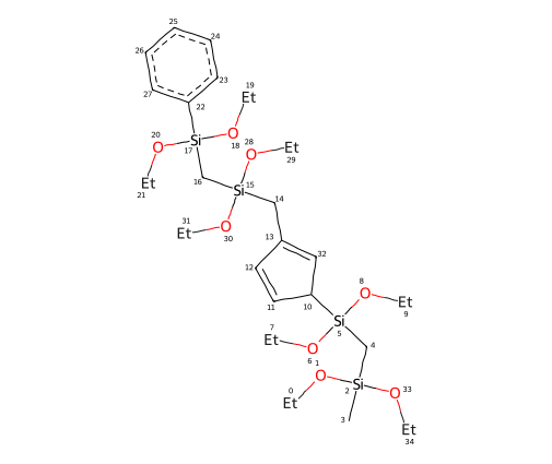 CCO[Si](C)(C[Si](OCC)(OCC)C1C=CC(C[Si](C[Si](OCC)(OCC)c2ccccc2)(OCC)OCC)=C1)OCC